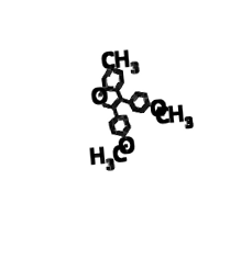 COc1ccc(C2=C(c3ccc(OC)cc3)c3ccc(C)cc3OC2)cc1